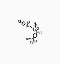 CCCN(C(=O)CC)c1ccc(N(CC)C(=O)OC(N)C=CNC(=O)c2ccc(Cl)s2)cc1